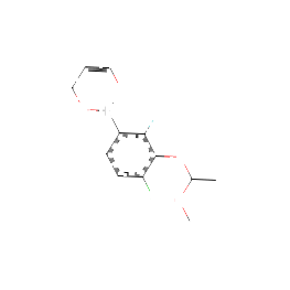 COC(C)Oc1c(Cl)ccc(B2OC=CCO2)c1F